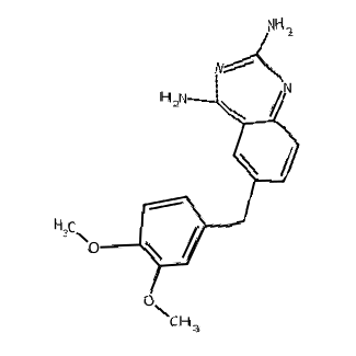 COc1ccc(Cc2ccc3nc(N)nc(N)c3c2)cc1OC